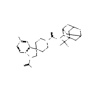 CC(C)(C)C12CC3CC(CC(C3)C1OC(=O)N1CCC3(CC1)CN(C(=O)O)c1ccc(F)cc13)C2